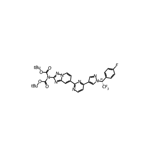 CC(C)(C)OC(=O)N(C(=O)OC(C)(C)C)c1nc2cc(-c3nccc(-c4cnn([C@H](c5ccc(F)cc5)C(F)(F)F)c4)n3)ccn2n1